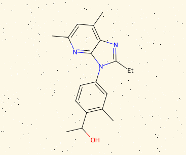 CCc1nc2c(C)cc(C)nc2n1-c1ccc(C(C)O)c(C)c1